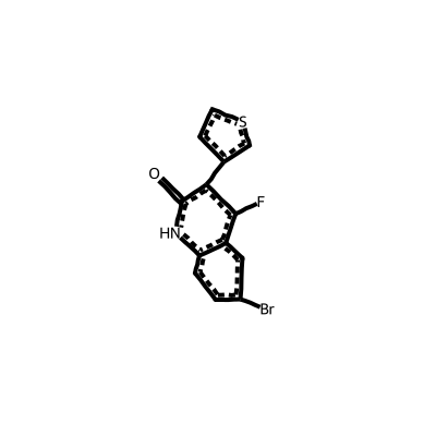 O=c1[nH]c2ccc(Br)cc2c(F)c1-c1ccsc1